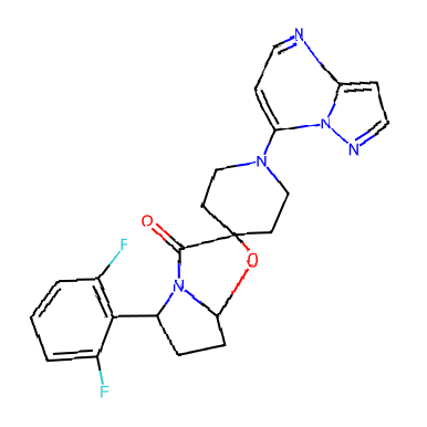 O=C1N2C(CCC2c2c(F)cccc2F)OC12CCN(c1ccnc3ccnn13)CC2